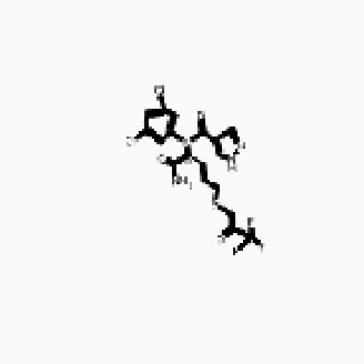 NC(=O)[C@H](CCCSCC(=O)C(F)(F)F)N(C(=O)c1cn[nH]c1)c1cc(Cl)cc(Cl)c1